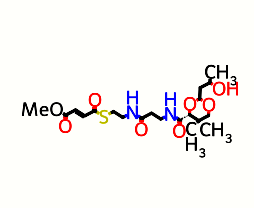 COC(=O)/C=C/C(=O)SCCNC(=O)CCNC(=O)[C@@H]1OC(CC(C)O)OCC1(C)C